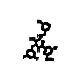 CCc1cccc(CNC[C@H](O)[C@H](Cc2cc(F)cc(F)c2)NC(=O)c2c[n+]([O-])cc(OC)n2)c1